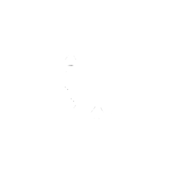 CC(C)COc1ccc(CCC(=O)N2CCN(CCOc3ccccc3F)CC2)cc1